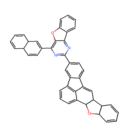 C1=CC2C=CC(c3nc(-c4ccc5c(c4)-c4cccc6c4C5=CC4C6OC5C=CC=CC54)nc4c3oc3ccccc34)=CC2C=C1